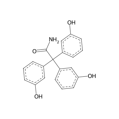 NC(=O)C(c1cccc(O)c1)(c1cccc(O)c1)c1cccc(O)c1